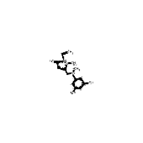 C=Cn1c(=O)cc(CN(C)c2cc(Cl)cc(Cl)c2)n1C